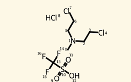 CN(CCCl)CCCl.Cl.O=S(=O)(O)C(F)(F)F